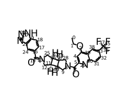 CCOc1cc(C(=O)N2C[C@@H]3[C@H]4CN(C(=O)c5ccc6[nH]nnc6c5)C[C@H]4[C@@H]3C2)nc2ccc(C(F)(F)F)cc12